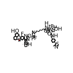 C#Cc1cccc2cc(O)cc(-c3c(F)cc4c(N5C[C@H]6CC[C@@](C)(C5)N6)nc(OC[C@]5(CN(C)CCCCCCC(=O)N[C@H](C(=O)N6C[C@H](O)C[C@H]6C(=O)NCc6ccc(-c7scnc7C)cc6)C(C)(C)C)CC5(F)F)nc4c3F)c12